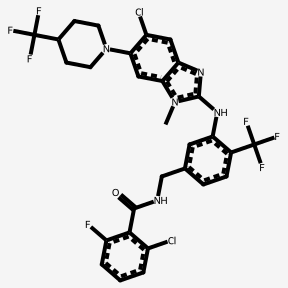 Cn1c(Nc2cc(CNC(=O)c3c(F)cccc3Cl)ccc2C(F)(F)F)nc2cc(Cl)c(N3CCC(C(F)(F)F)CC3)cc21